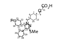 CSc1nn(C[C@H]2CC[C@H](COCC(=O)O)CC2)c(-c2ccc(F)cc2)c1-c1ccccc1